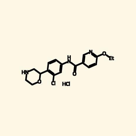 CCOc1ccc(C(=O)Nc2ccc(C3CNCCO3)c(Cl)c2)cn1.Cl